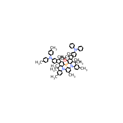 Cc1ccc(N(c2ccc(C)cc2)c2ccc3c(c2)C(C)(C)c2c4c5c6c(c2-3)C(C)(C)c2cc(C)ccc2N6c2cc(C)cc3c2P5c2c(c5c(c6c2N3c2ccc(C)cc2C6(C)C)-c2ccc(N(c3ccccc3)c3ccccc3)cc2C5(C)C)O4)cc1